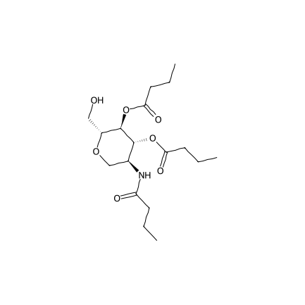 CCCC(=O)N[C@H]1CO[C@H](CO)[C@@H](OC(=O)CCC)[C@@H]1OC(=O)CCC